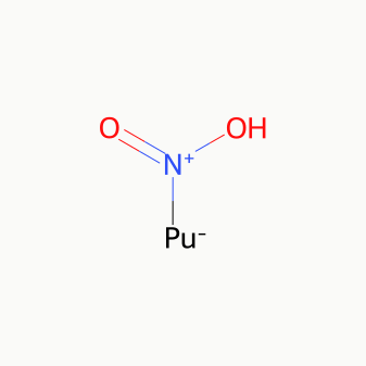 O=[N+](O)[Pu-]